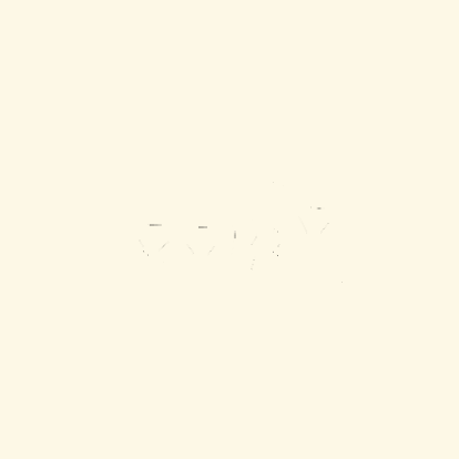 CCOCc1nc(=O)c(S(=O)(=O)c2ccc(-c3ccc(F)nc3C)c(F)c2)c(O)n1C(COC)c1cccc(F)c1